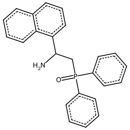 NC(CP(=O)(c1ccccc1)c1ccccc1)c1cccc2ccccc12